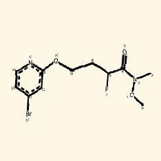 CON(C)C(=O)C(F)CCOc1cc(Br)ccn1